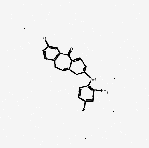 Nc1cc(F)ccc1NC1=CC=C2C(=O)c3cc(O)ccc3CC=C2C1